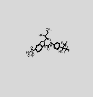 CCC(O)C(=O)N1Cc2cc(S(=O)(=O)NC)ccc2[C@@H]1C(=O)Nc1ccc(C(O)(C(F)(F)F)C(F)(F)F)cc1